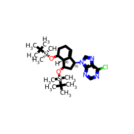 CC(C)(C)[Si](C)(C)OC1CCC=C2[C@H]1C(O[Si](C)(C)C(C)(C)C)C[C@@H]2n1cnc2c(Cl)ncnc21